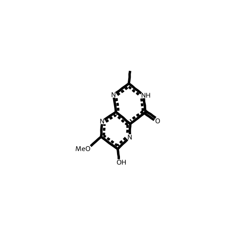 COc1nc2nc(C)[nH]c(=O)c2nc1O